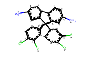 Nc1ccc2c(c1)C(c1ccc(Cl)c(Cl)c1)(c1ccc(Cl)c(Cl)c1)c1cc(N)ccc1-2